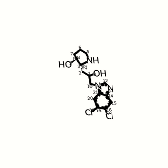 OC(C[C@H]1NCCC[C@@H]1O)Cn1cnc2cc(Cl)c(Cl)cc21